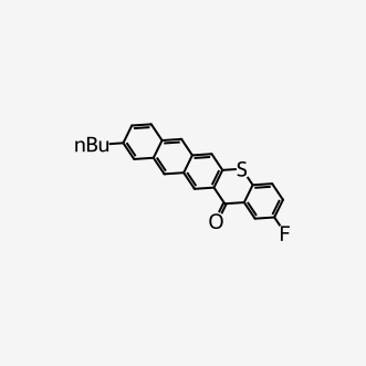 CCCCc1ccc2cc3cc4sc5ccc(F)cc5c(=O)c4cc3cc2c1